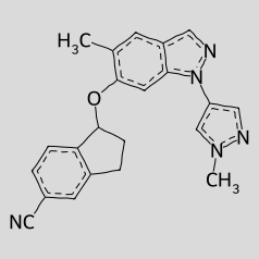 Cc1cc2cnn(-c3cnn(C)c3)c2cc1OC1CCc2cc(C#N)ccc21